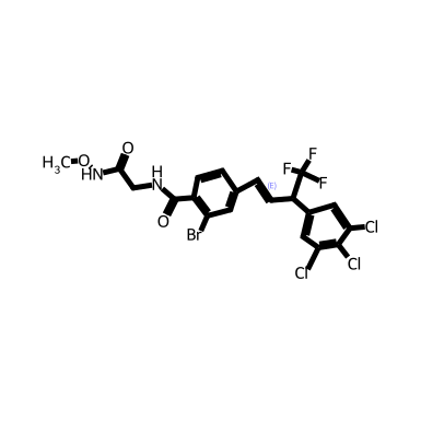 CONC(=O)CNC(=O)c1ccc(/C=C/C(c2cc(Cl)c(Cl)c(Cl)c2)C(F)(F)F)cc1Br